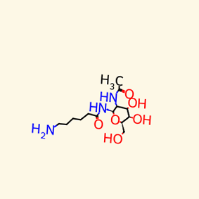 CC(=O)N[C@H]1[C@@H](O)[C@@H](O)[C@@H](CO)O[C@H]1NC(=O)CCCCCN